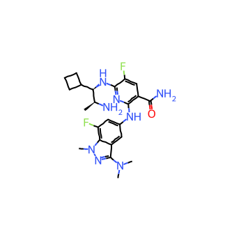 C[C@H](N)[C@H](Nc1nc(Nc2cc(F)c3c(c2)c(N(C)C)nn3C)c(C(N)=O)cc1F)C1CCC1